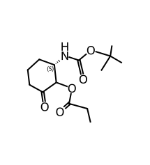 CCC(=O)OC1C(=O)CCC[C@@H]1NC(=O)OC(C)(C)C